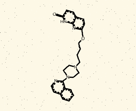 O=c1ccc2ccc(OCCCCN3CCN(c4nccc5ccccc45)CC3)nc2[nH]1